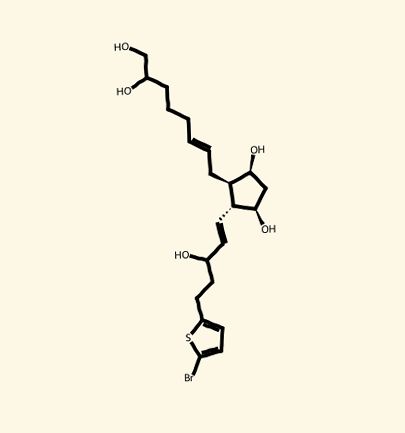 OCC(O)CCCC=CC[C@@H]1[C@@H](C=CC(O)CCc2ccc(Br)s2)[C@H](O)C[C@@H]1O